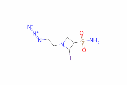 [N-]=[N+]=NCCN1CC(S(N)(=O)=O)C1I